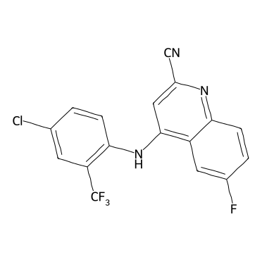 N#Cc1cc(Nc2ccc(Cl)cc2C(F)(F)F)c2cc(F)ccc2n1